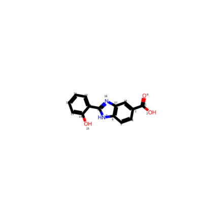 O=C(O)c1ccc2[nH]c(-c3ccccc3O)nc2c1